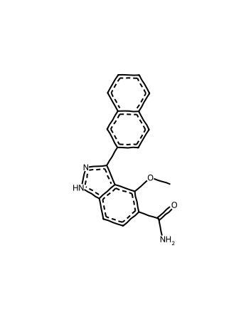 COc1c(C(N)=O)ccc2[nH]nc(-c3ccc4ccccc4c3)c12